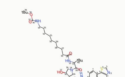 Cc1ncsc1-c1ccc(CNC(=O)[C@@H]2C[C@@H](O)CN2C(=O)C(NC(=O)CCCCCCCCCNC(=O)OC(C)(C)C)C(C)(C)C)cc1